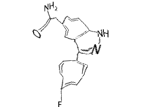 NC(=O)c1ccc2[nH]nc(-c3ccc(F)cc3)c2c1